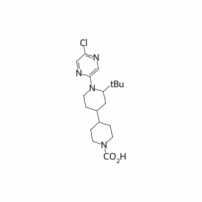 CC(C)(C)C1CC(C2CCN(C(=O)O)CC2)CCN1c1cnc(Cl)cn1